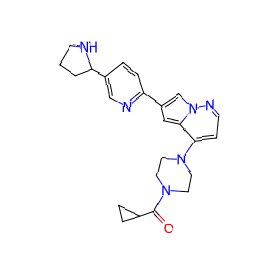 O=C(C1CC1)N1CCN(c2ccnn3cc(-c4ccc(C5CCCN5)cn4)cc23)CC1